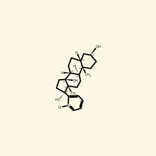 C[C@]12CC[C@H](O)C[C@H]1CC[C@@H]1[C@@H]2CC[C@]2(C)[C@@](O)(c3cccc[n+]3[O-])CC[C@]12O